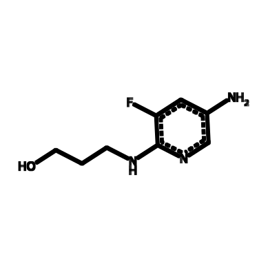 Nc1cnc(NCCCO)c(F)c1